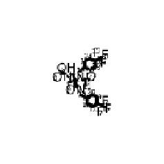 O=C(O)N1CC2(C1)C(=O)N(Cc1ccc(C(F)(F)F)cc1)CC(=O)N2Cc1ccc(C(F)(F)F)cc1